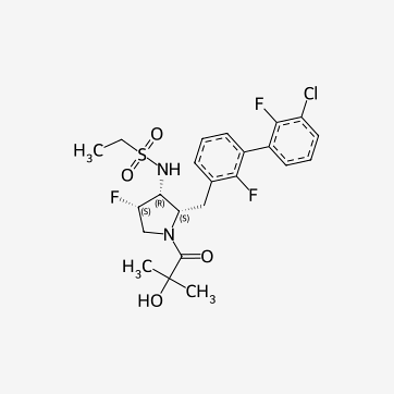 CCS(=O)(=O)N[C@H]1[C@@H](F)CN(C(=O)C(C)(C)O)[C@H]1Cc1cccc(-c2cccc(Cl)c2F)c1F